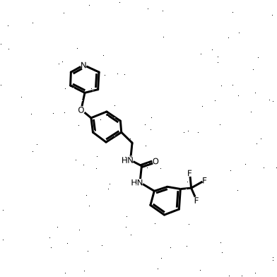 O=C(NCc1ccc(Oc2ccncc2)cc1)Nc1cccc(C(F)(F)F)c1